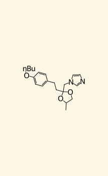 CCCCOc1ccc(CCC2(Cn3ccnc3)OCC(C)O2)cc1